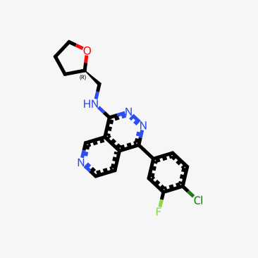 Fc1cc(-c2nnc(NC[C@H]3CCCO3)c3cnccc23)ccc1Cl